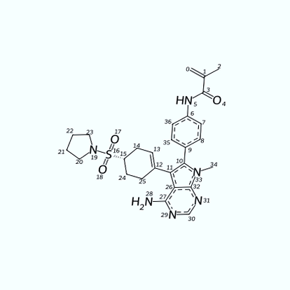 C=C(C)C(=O)Nc1ccc(-c2c(C3=CC[C@@H](S(=O)(=O)N4CCCC4)CC3)c3c(N)ncnc3n2C)cc1